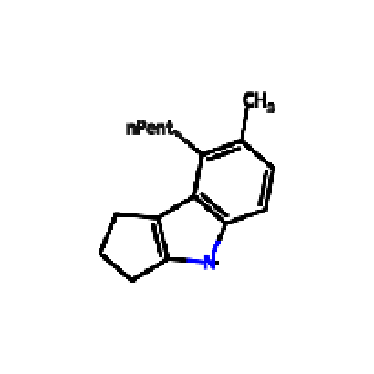 CCCCCc1c(C)ccc2c1C1=C(CCC1)[N]2